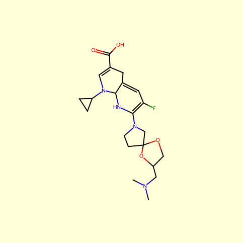 CN(C)CC1COC2(CCN(C3=C(F)C=C4CC(C(=O)O)=CN(C5CC5)C4N3)C2)O1